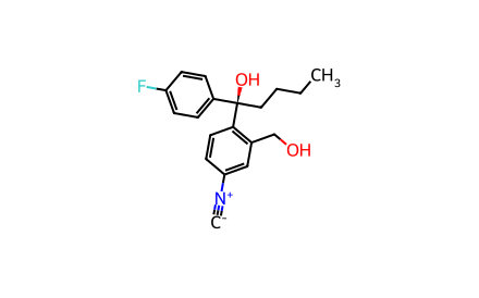 [C-]#[N+]c1ccc([C@@](O)(CCCC)c2ccc(F)cc2)c(CO)c1